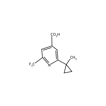 CC1(c2cc(C(=O)O)cc(C(F)(F)F)n2)CC1